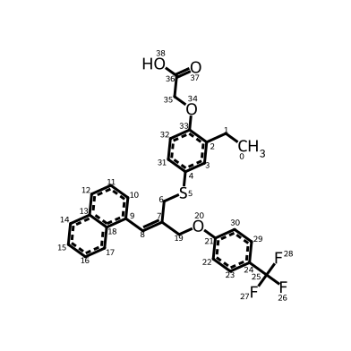 CCc1cc(SC/C(=C\c2cccc3ccccc23)COc2ccc(C(F)(F)F)cc2)ccc1OCC(=O)O